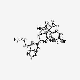 Nc1nc(-c2cn3ccnc3c(CCC(F)(F)F)n2)nc2c1C(c1ccc(Br)cc1)(C1CC1)C(=O)N2